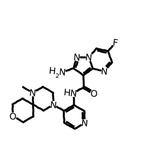 CN1CCN(c2ccncc2NC(=O)c2c(N)nn3cc(F)cnc23)CC12CCOCC2